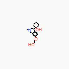 CN1Cc2cc(OCCO)ccc2C(C2(O)CCCCC2)C1